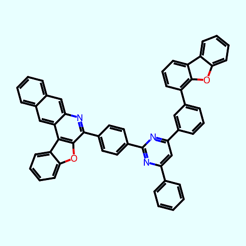 c1ccc(-c2cc(-c3cccc(-c4cccc5c4oc4ccccc45)c3)nc(-c3ccc(-c4nc5cc6ccccc6cc5c5c4oc4ccccc45)cc3)n2)cc1